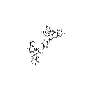 CCC(=Cc1cc(=O)n(CCN2CCC(N(Cc3ccc4c(c3)OCCO4)C(=O)OC(C)(C)C)CC2)c2cc(OC)ccc12)C(=O)O